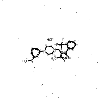 COc1cccc(N2CCN(Cc3c(-c4ccccc4C(F)(F)F)noc3C)CC2)c1.Cl